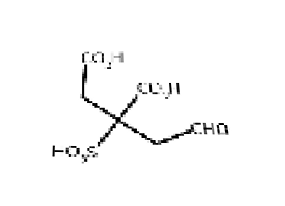 O=CCC(CC(=O)O)(C(=O)O)S(=O)(=O)O